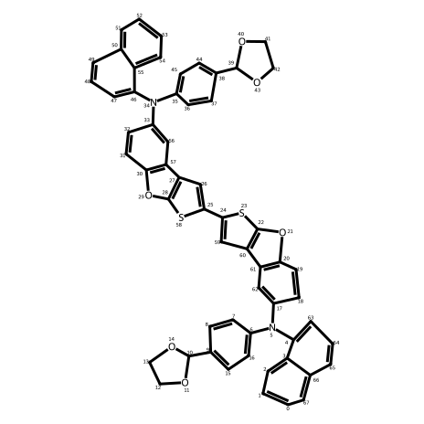 c1ccc2c(N(c3ccc(C4OCCO4)cc3)c3ccc4oc5sc(-c6cc7c(oc8ccc(N(c9ccc(C%10OCCO%10)cc9)c9cccc%10ccccc9%10)cc87)s6)cc5c4c3)cccc2c1